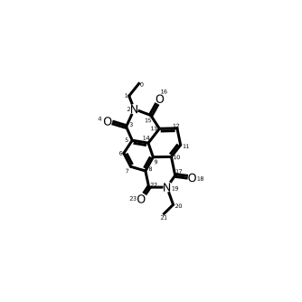 CCN1C(=O)c2ccc3c4c(ccc(c24)C1=O)C(=O)N(CC)C3=O